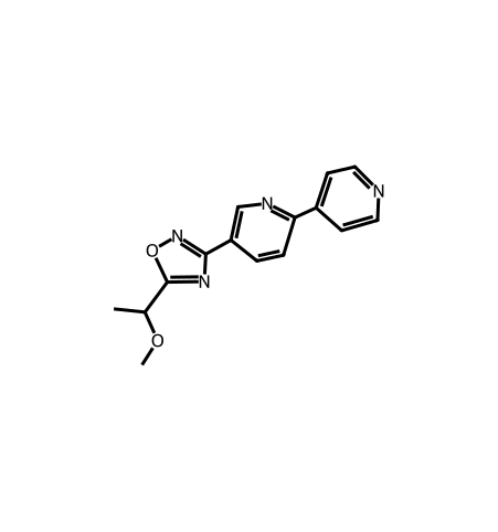 COC(C)c1nc(-c2ccc(-c3ccncc3)nc2)no1